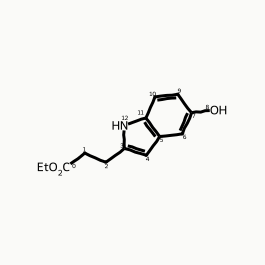 CCOC(=O)CCc1cc2cc(O)ccc2[nH]1